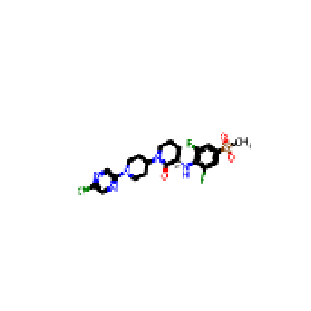 CS(=O)(=O)c1cc(F)c(N[C@H]2CCCN(C3CCN(c4cnc(Cl)cn4)CC3)C2=O)c(F)c1